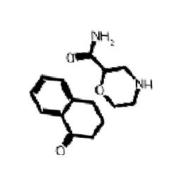 NC(=O)C1CNCCO1.O=C1CCCc2ccccc21